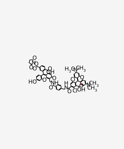 CN(C)c1ccc2c(-c3c(Cl)cc(C(=O)NCc4ccc(C(=O)NCc5c6oc7cc(O)ccc7c(-c7cc(C(=O)ON8C(=O)CCC8=O)ccc7C(=O)O)c-6ccc5=O)cc4)c(Cl)c3C(=O)O)c3ccc(=[N+](C)C)cc-3oc2c1